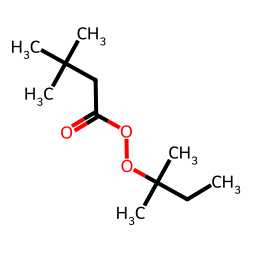 CCC(C)(C)OOC(=O)CC(C)(C)C